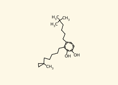 CC(C)(C)CCCCc1ccc(O)c(O)c1CCCCCC1(C)CC1